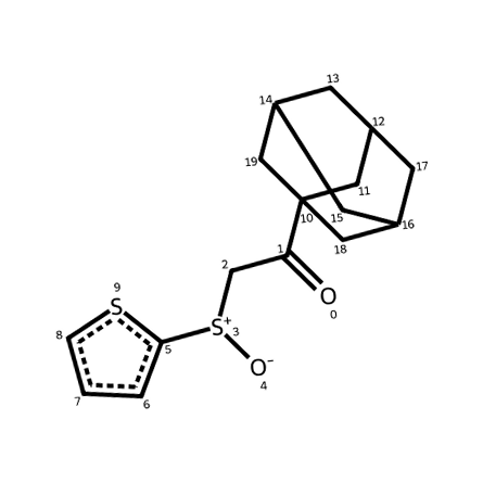 O=C(C[S+]([O-])c1cccs1)C12CC3CC(CC(C3)C1)C2